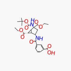 CCOC(=O)[C@H]1C2C(NC(=O)c3cccc(C(=O)O)c3)CC(NC(=O)OC(C)(C)C)(C(=O)OCC)C21